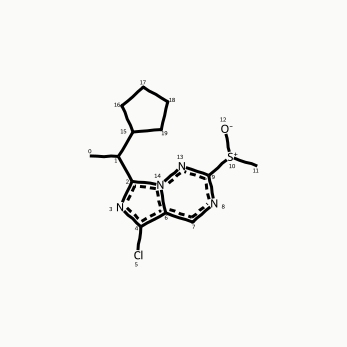 CC(c1nc(Cl)c2cnc([S+](C)[O-])nn12)C1CCCC1